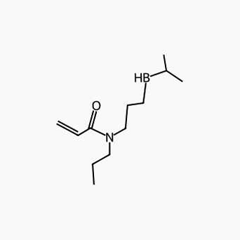 C=CC(=O)N(CCC)CCCBC(C)C